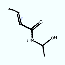 C/C=C/C(=O)NC(C)O